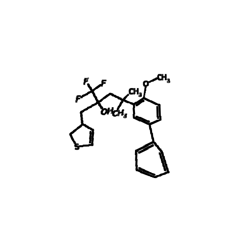 COc1ccc(-c2ccccc2)cc1C(C)(C)CC(O)(CC1C=CSC1)C(F)(F)F